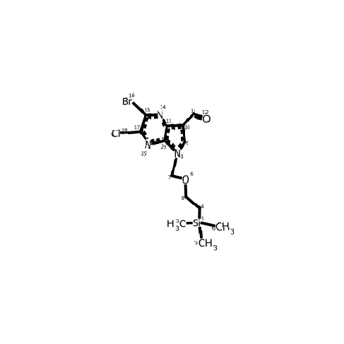 C[Si](C)(C)CCOCn1cc(C=O)c2nc(Br)c(Cl)nc21